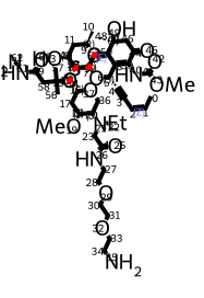 C/C=C\C#C[C@H](O[C@@H]1O[C@H](C)C[C@H](O)[C@H]1O[C@H]1C[C@H](OC)[C@@H](N(CC)CC(=O)NCCOCCOCCN)CO1)C1=C(NC(=O)OC)C(=O)C[C@](C)(O)/C1=C/CSSC(C)(C)CC(=O)NN